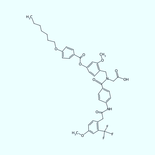 CCCCCCCOc1ccc(C(=O)Oc2ccc(CN(CC(=O)O)C(=O)c3ccc(NC(=O)Cc4ccc(OC)cc4C(F)(F)F)cc3)c(OC)c2)cc1